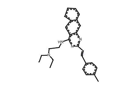 CCN(CC)CCNc1nc(/C=C/c2ccc(C)cc2)nc2cc3ccccc3cc12